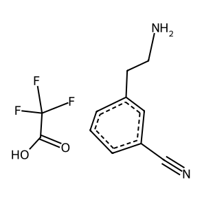 N#Cc1cccc(CCN)c1.O=C(O)C(F)(F)F